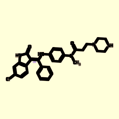 CN(C(=O)CCN1CCNCC1)c1ccc(N/C(=C2\C(=O)Nc3cc(Cl)ccc32)c2ccccc2)cc1